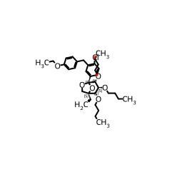 C=C[C@@]12CO[C@@](c3ccc(Cl)c(Cc4ccc(OCC)cc4)c3)(O1)[C@H](OCCCC)[C@@H](OCCCC)[C@@H]2OCCCC